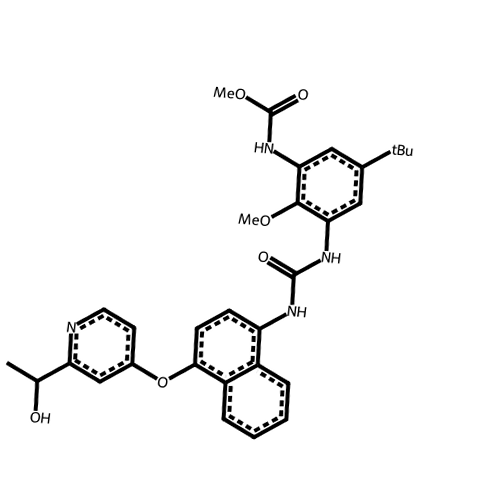 COC(=O)Nc1cc(C(C)(C)C)cc(NC(=O)Nc2ccc(Oc3ccnc(C(C)O)c3)c3ccccc23)c1OC